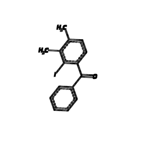 Cc1ccc(C(=O)c2ccccc2)c(I)c1C